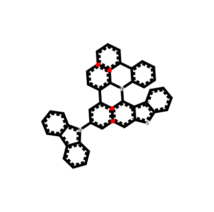 c1ccc(-c2ccccc2N(c2ccccc2-c2cccc(-n3c4ccccc4c4ccccc43)c2)c2cccc3sc4ccccc4c23)cc1